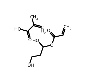 C=C(C)C(=O)O.C=CC(=O)OC(O)CCO